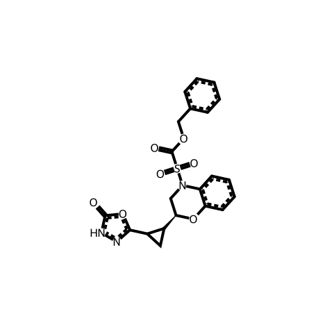 O=C(OCc1ccccc1)S(=O)(=O)N1C[C@H](C2CC2c2n[nH]c(=O)o2)Oc2ccccc21